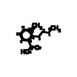 CCCCc1c(C(=O)O)ccc[n+]1C